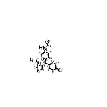 Cn1cncc1C(c1ccc(Cl)cc1)c1ccc(NC=O)cc1